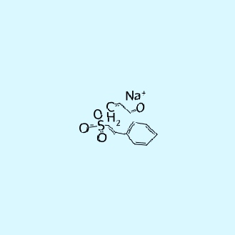 C=CC=O.O=S(=O)([O-])C=Cc1ccccc1.[Na+]